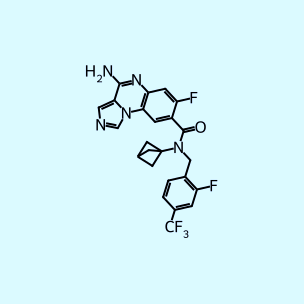 Nc1nc2cc(F)c(C(=O)N(Cc3ccc(C(F)(F)F)cc3F)C34CC(C3)C4)cc2n2cncc12